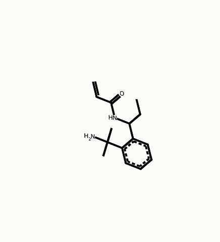 C=CC(=O)NC(CC)c1ccccc1C(C)(C)N